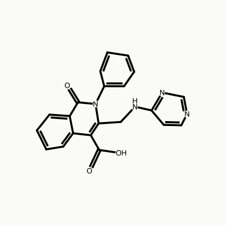 O=C(O)c1c(CNc2ccncn2)n(-c2ccccc2)c(=O)c2ccccc12